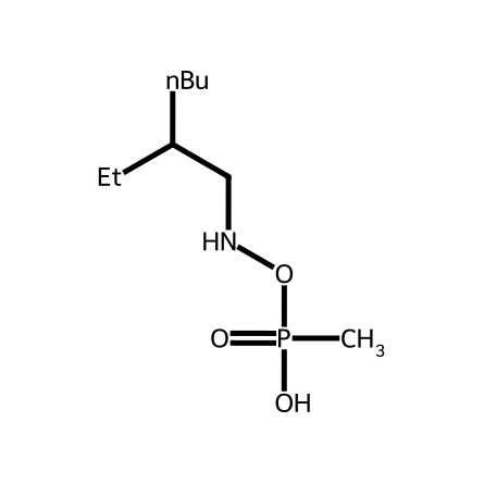 CCCCC(CC)CNOP(C)(=O)O